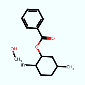 CC1CCC(C(C)C)C(OC(=O)c2ccccc2)C1.CO